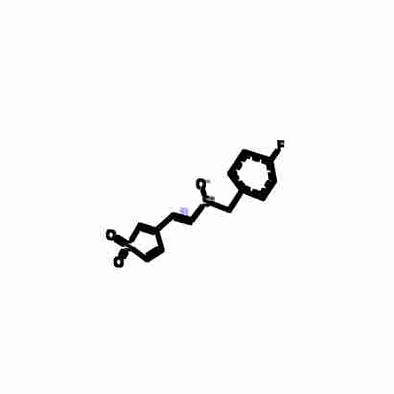 O=S1(=O)C=CC(/C=C/[S+]([O-])Cc2ccc(F)cc2)=C1